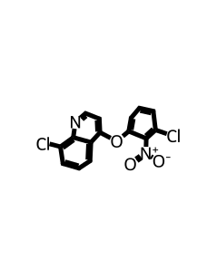 O=[N+]([O-])c1c(Cl)cccc1Oc1ccnc2c(Cl)cccc12